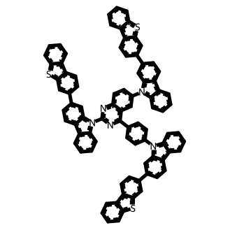 c1ccc2c(c1)sc1cc(-c3ccc4c5ccccc5n(-c5ccc(-c6nc(-n7c8ccccc8c8ccc(-c9ccc%10c(c9)sc9ccccc9%10)cc87)nc7ccc(-n8c9ccccc9c9ccc(-c%10ccc%11c(c%10)sc%10ccccc%10%11)cc98)cc67)cc5)c4c3)ccc12